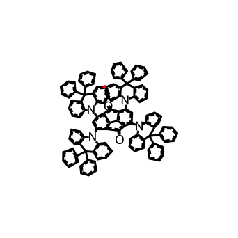 O=c1c2c(N3c4ccccc4C(c4ccccc4)(c4ccccc4)c4ccccc43)cc(N3c4ccccc4C(c4ccccc4)(c4ccccc4)c4ccccc43)c3c2-c2c1c(N1c4ccccc4C(c4ccccc4)(c4ccccc4)c4ccccc41)cc(N1c4ccccc4C(c4ccccc4)(c4ccccc4)c4ccccc41)c2c3=O